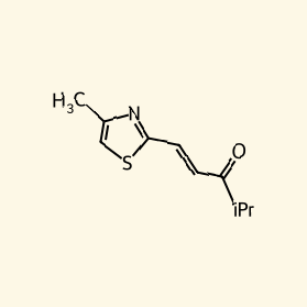 Cc1csc(C=CC(=O)C(C)C)n1